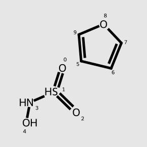 O=[SH](=O)NO.c1ccoc1